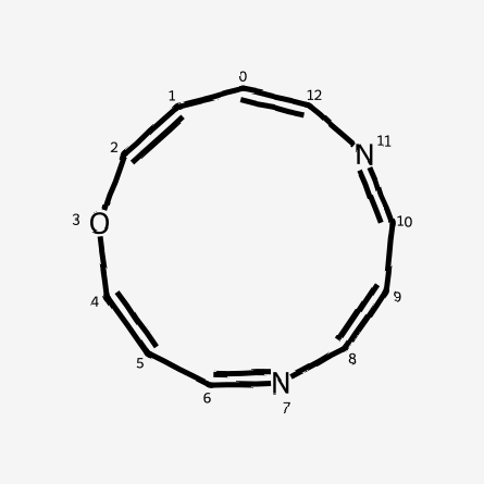 c1ccocccncccnc1